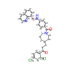 O=C(CCC1CCCN(C(=O)c2ccc(NSc3cccc4cccnc34)cc2)CC1)C1=CC=C(Cl)CC1Cl